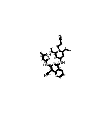 CCC1CC(Nc2nc(Nc3cc(C)[nH]n3)c(C#N)c3ncccc23)CC(CC)N1CCC#N